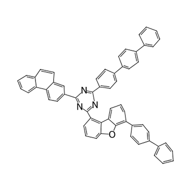 c1ccc(-c2ccc(-c3ccc(-c4nc(-c5ccc6c(ccc7ccccc76)c5)nc(-c5cccc6oc7c(-c8ccc(-c9ccccc9)cc8)cccc7c56)n4)cc3)cc2)cc1